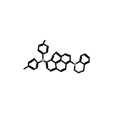 Cc1ccc(N(c2ccc(C)cc2)c2ccc3ccc4c(N5CCCc6ccccc65)ccc5ccc2c3c54)cc1